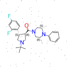 C[C@@H]1CN(C(=O)[C@H]2CN(C(C)(C)C)C[C@@H]2c2ccc(F)cc2F)C[C@H](C)N1c1ccccc1